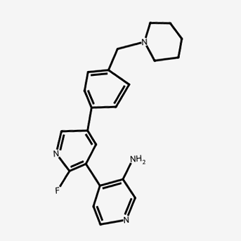 Nc1cnccc1-c1cc(-c2ccc(CN3CCCCC3)cc2)cnc1F